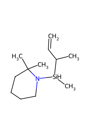 C=CC(C)[SiH](C)N1CCCCC1(C)C